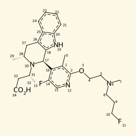 Cc1c(OCCN(C)CCCF)ncc(F)c1[C@@H]1c2[nH]c3ccccc3c2C[C@@H](C)N1[C@H](C)CC(=O)O